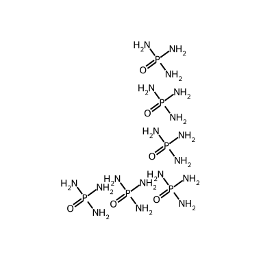 NP(N)(N)=O.NP(N)(N)=O.NP(N)(N)=O.NP(N)(N)=O.NP(N)(N)=O.NP(N)(N)=O